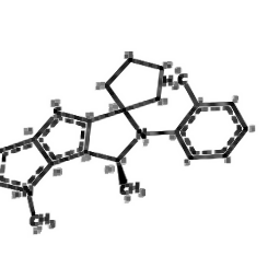 Cc1ccccc1N1[C@@H](C)c2c(sc3ccn(C)c23)C12CCCC2